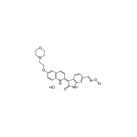 CCON=Cc1ccc2c(c1)NC(=O)C2=C1C=Cc2cc(OCCN3CCOCC3)ccc2N1.Cl